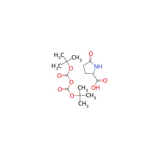 CC(C)(C)OC(=O)OC(=O)OC(C)(C)C.O=C1CCC(C(=O)O)N1